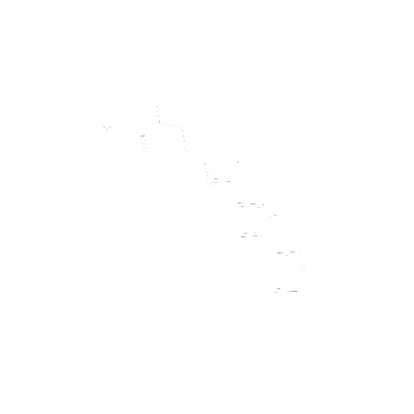 COC(=O)C(C)CNc1nc(-c2ccc(-c3ccc(F)cc3)cc2)cs1